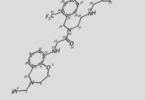 CC(C)CN1CCOc2c(cccc2NCC(=O)N(CCNCC2CC2)Cc2ccccc2C(F)(F)F)C1